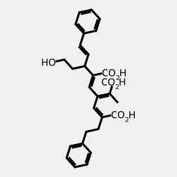 CC(C(=O)O)=C(C=C(CCc1ccccc1)C(=O)O)C=C(C(=O)O)C(C=Cc1ccccc1)CCO